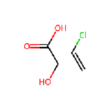 C=CCl.O=C(O)CO